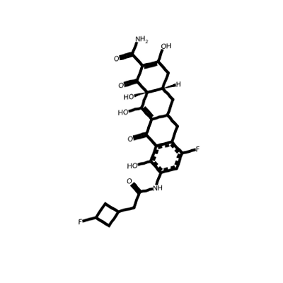 NC(=O)C1=C(O)C[C@@H]2CC3Cc4c(F)cc(NC(=O)CC5CC(F)C5)c(O)c4C(=O)C3=C(O)[C@]2(O)C1=O